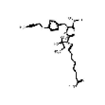 CC#CCOc1ccc(C[C@H](NC(=O)[C@@H](C=CCCCCCCC(=O)CCCCCCC)[C@@](O)(CC(=O)O)C(=O)O)C(=O)N(C)C)cc1